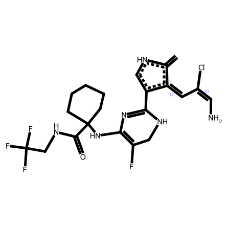 C=c1[nH]cc(C2=NC(NC3(C(=O)NCC(F)(F)F)CCCCC3)=C(F)CN2)/c1=C/C(Cl)=C\N